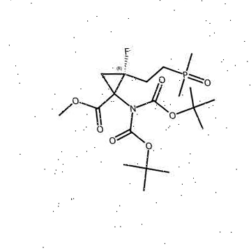 COC(=O)C1(N(C(=O)OC(C)(C)C)C(=O)OC(C)(C)C)C[C@@]1(F)CCP(C)(C)=O